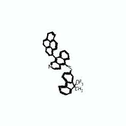 CC1(C)c2ccccc2-c2ccc(Sc3c4ccccc4c(-c4ccc5c6c7c(ccc46)C=CCC7=CC5)c4cnccc34)cc21